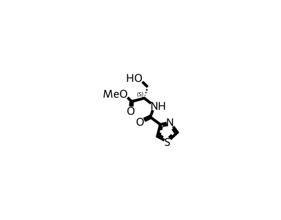 COC(=O)[C@H](CO)NC(=O)c1cscn1